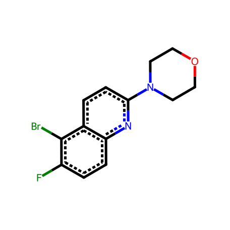 Fc1ccc2nc(N3CCOCC3)ccc2c1Br